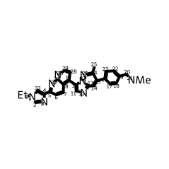 CCn1cnc(-c2ccc3c(-c4cnc5cc(-c6ccc(CNC)cc6)c(C)nn45)ccnc3n2)c1